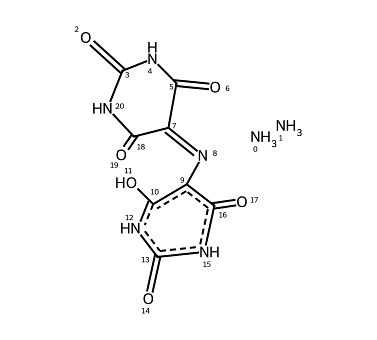 N.N.O=C1NC(=O)C(=Nc2c(O)[nH]c(=O)[nH]c2=O)C(=O)N1